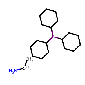 C1CCC(P(C2CCCCC2)C2CCCCC2)CC1.C[SiH2]N